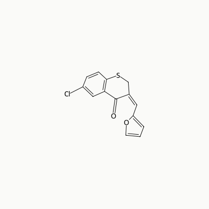 O=C1C(=Cc2ccco2)CSc2ccc(Cl)cc21